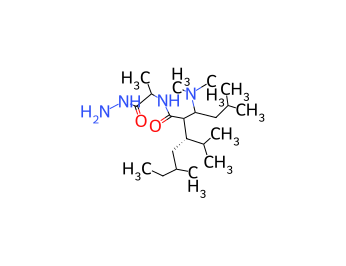 CCC(C)C[C@@H](C(C)C)C(C(=O)NC(C)C(=O)NN)C(CC(C)C)N(C)C